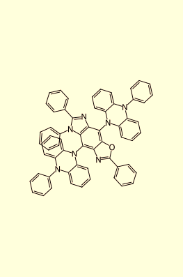 c1ccc(-c2nc3c(N4c5ccccc5N(c5ccccc5)c5ccccc54)c4c(nc(-c5ccccc5)n4-c4ccccc4)c(N4c5ccccc5N(c5ccccc5)c5ccccc54)c3o2)cc1